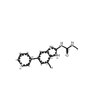 CNC(=O)Nc1nc2cc(-c3cccnc3)cc(C)c2[nH]1